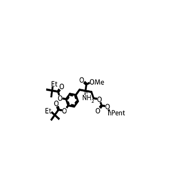 CCCCCOC(=O)OCC[C@@](N)(Cc1ccc(OC(=O)C(C)(C)CC)c(OC(=O)C(C)(C)CC)c1)C(=O)OC